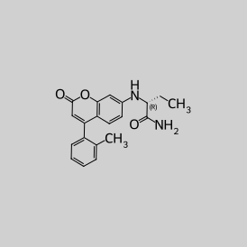 CC[C@@H](Nc1ccc2c(-c3ccccc3C)cc(=O)oc2c1)C(N)=O